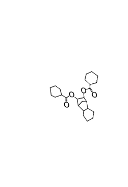 O=C(OC1C2CC(C3CCCCC32)C1OC(=O)C1CCCCC1)C1CCCCC1